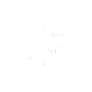 CC(C)C(C(=O)N[C@H](C(=O)N(C)C)C(C)C)C(C)C